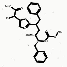 CCC(C(=O)OC)c1cnc(C(Cc2ccccc2)C[C@H](O)[C@H](Cc2ccccc2)NC(=O)OC(C)(C)C)s1